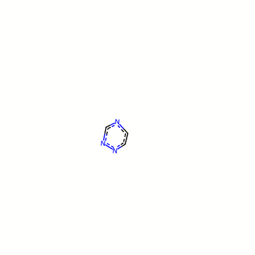 c1cnncn1